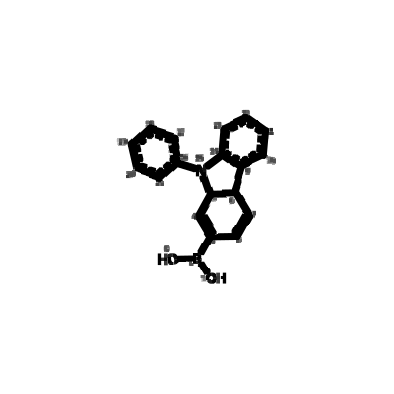 OB(O)C1=CC2C(C=C1)c1ccccc1N2c1ccccc1